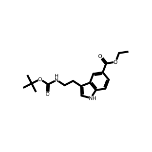 CCOC(=O)c1ccc2[nH]cc(CCNC(=O)OC(C)(C)C)c2c1